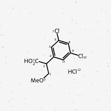 COCC(C(=O)O)c1cc(Cl)cc(Cl)c1.Cl